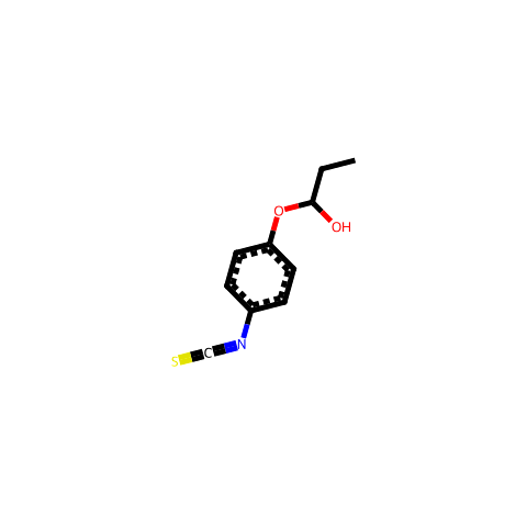 CC[C](O)Oc1ccc(N=C=S)cc1